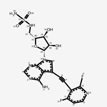 Nc1ncnc2c1c(C#Cc1c(F)ccnc1F)cn2[C@@H]1O[C@H](CNS(N)(=O)=O)[C@@H](O)[C@H]1O